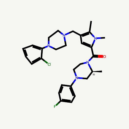 Cc1c(CN2CCN(c3ccccc3Cl)CC2)cc(C(=O)N2CCN(c3ccc(F)cc3)C[C@@H]2C)n1C